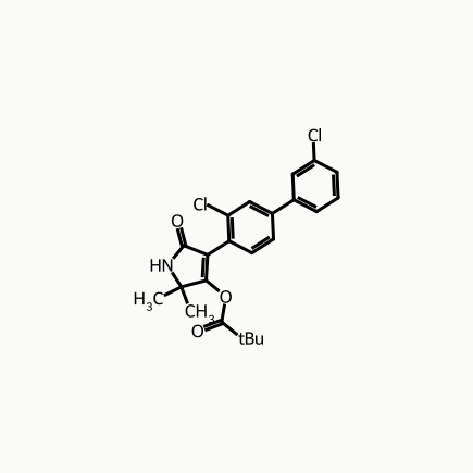 CC(C)(C)C(=O)OC1=C(c2ccc(-c3cccc(Cl)c3)cc2Cl)C(=O)NC1(C)C